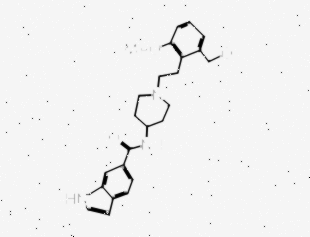 COc1cccc(CO)c1CCN1CCC(NC(=O)c2ccc3cc[nH]c3c2)CC1